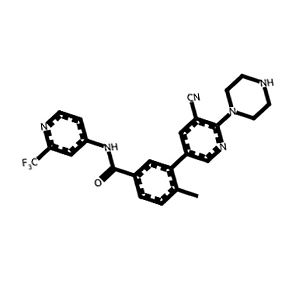 Cc1ccc(C(=O)Nc2ccnc(C(F)(F)F)c2)cc1-c1cnc(N2CCNCC2)c(C#N)c1